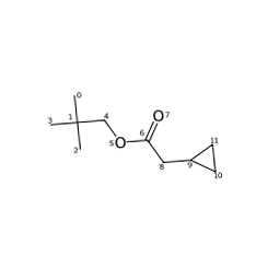 CC(C)(C)COC(=O)CC1CC1